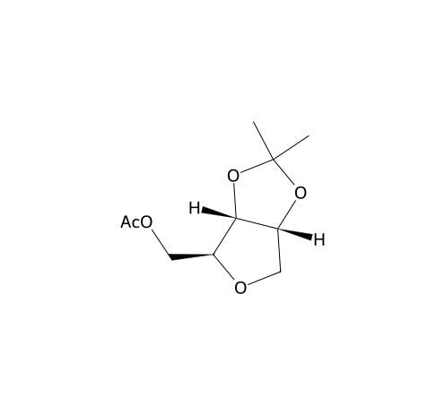 CC(=O)OC[C@@H]1OC[C@H]2OC(C)(C)O[C@@H]12